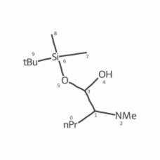 CCCC(NC)C(O)O[Si](C)(C)C(C)(C)C